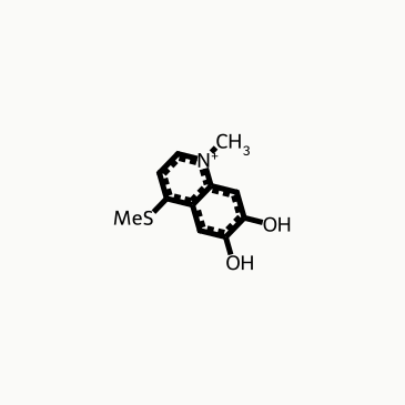 CSc1cc[n+](C)c2cc(O)c(O)cc12